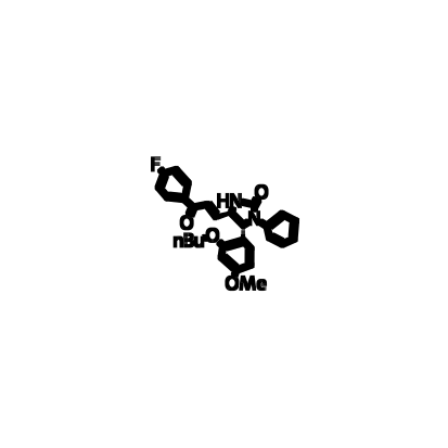 CCCCOc1cc(OC)ccc1[C@@H]1[C@@H](/C=C/C(=O)c2ccc(F)cc2)NC(=O)N1c1ccccc1